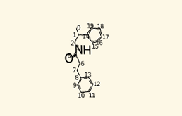 CC(CNC(=O)CCc1ccccc1)c1ccccc1